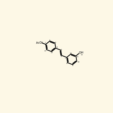 CC(=O)Oc1ccc(C=Cc2cccc(O)c2)cc1